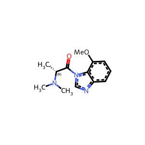 COc1cccc2ncn(C(=O)[C@@H](C)N(C)C)c12